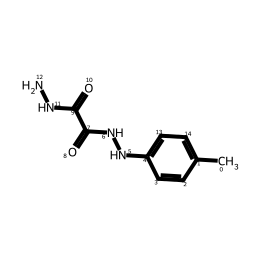 Cc1ccc(NNC(=O)C(=O)NN)cc1